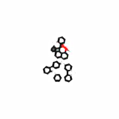 c1ccc(-n2c3ccccc3c3ccc(N(c4ccc5oc6ccccc6c5c4)c4ccc5c6c(cccc46)C4(c6ccccc6Oc6ccccc64)c4ccccc4-5)cc32)cc1